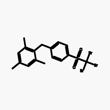 Cc1cc(C)c(Cc2ccc(S(=O)(=O)C(Br)(Br)Br)cc2)c(C)c1